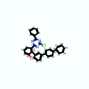 Clc1nc(-c2ccccc2)nc(-c2cccc3oc4ccc(-c5ccc(-c6ccccc6)cc5)cc4c23)n1